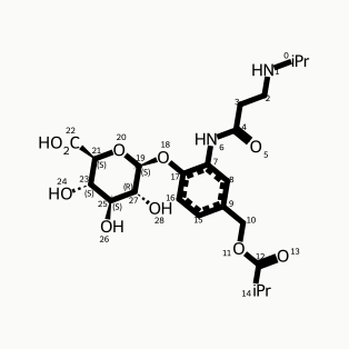 CC(C)NCCC(=O)Nc1cc(COC(=O)C(C)C)ccc1O[C@@H]1O[C@H](C(=O)O)[C@@H](O)[C@H](O)[C@H]1O